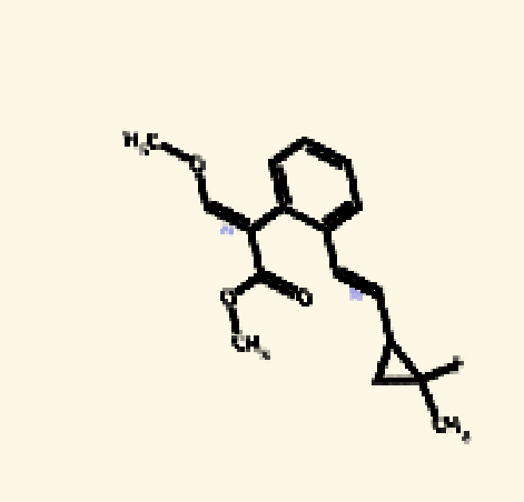 CO/C=C(/C(=O)OC)c1ccccc1/C=C/C1CC1(C)F